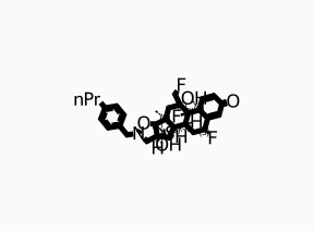 CCCc1ccc(CN2C[C@@H]3C[C@H]4[C@@H]5C[C@H](F)C6=CC(=O)C=C[C@]6(C)[C@@]5(F)[C@@](O)(CF)C[C@]4(C)[C@]3(C(O)=S)O2)cc1